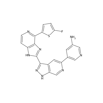 Nc1cncc(-c2cc3c(-c4nc5c(-c6ccc(F)s6)nccc5[nH]4)n[nH]c3cn2)c1